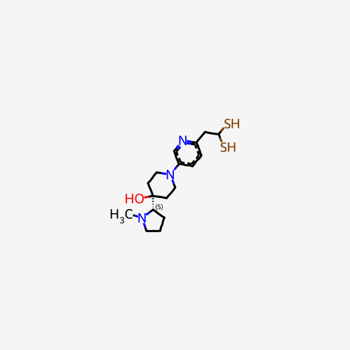 CN1CCC[C@H]1C1(O)CCN(c2ccc(CC(S)S)nc2)CC1